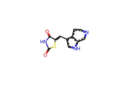 O=C1NC(=O)/C(=C/c2c[nH]c3cnccc23)S1